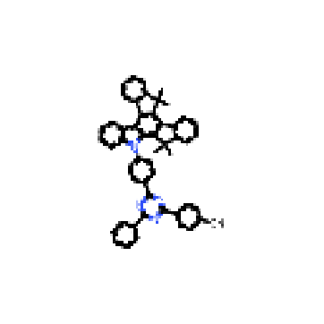 CC1(C)c2ccccc2-c2c1c1c(c3c2c2ccccc2n3-c2ccc(-c3nc(-c4ccccc4)nc(-c4ccc(C#N)cc4)n3)cc2)C(C)(C)c2ccccc2-1